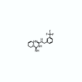 N=C(NCc1cccc(C(F)(F)F)c1)NC(=N)N1CC=CCC1